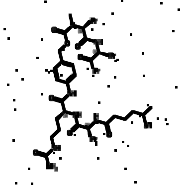 CC(S)CCCC(=O)N[C@H](C(=O)N[C@@H](CCCNC(N)=O)C(=O)Nc1ccc(COC(=O)N(C)[C@H](C(=O)N[C@H](C(=O)C(C)C)C(C)C)C(C)C)cc1)C(C)C